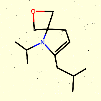 CC(C)CC1=CCC2(COC2)N1C(C)C